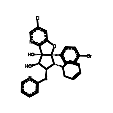 O[C@@H]1[C@H](Sc2ccccn2)[C@@H](C2C=CC=CC2)[C@]2(c3ccc(Br)cc3)Oc3cc(Cl)cnc3[C@]12O